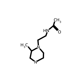 CC(=O)NCCN1CC[N]CC1C